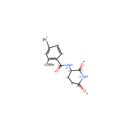 COc1cc(C(C)C)ccc1C(=O)NC1CCC(=O)NC1=O